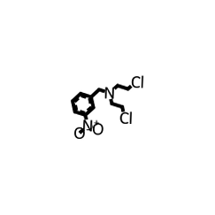 O=[N+]([O-])c1cccc(CN(CCCl)CCCl)c1